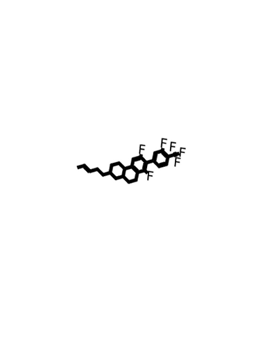 CC=CCCC1CCC2c3cc(F)c(-c4ccc(C(F)(F)F)c(F)c4)c(F)c3CCC2C1